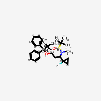 CN(C(CCO[Si](c1ccccc1)(c1ccccc1)C(C)(C)C)C1(F)CC1)[S@+]([O-])C(C)(C)C